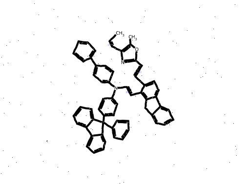 C/C=C\c1nc(/C=C/c2ccc3c(c2/C=C/N(c2ccc(-c4ccccc4)cc2)c2ccc(C4(c5ccccc5)c5ccccc5-c5ccccc54)cc2)Cc2ccccc2-3)oc1C